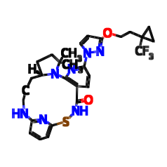 CC1(C)CC[C@H]2CCCNc3cccc(n3)SNC(=O)c3ccc(-n4ccc(OCCC5(C(F)(F)F)CC5)n4)nc3N21